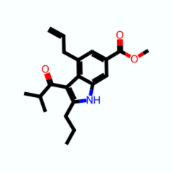 C=CCc1cc(C(=O)OC)cc2[nH]c(CCC)c(C(=O)C(C)C)c12